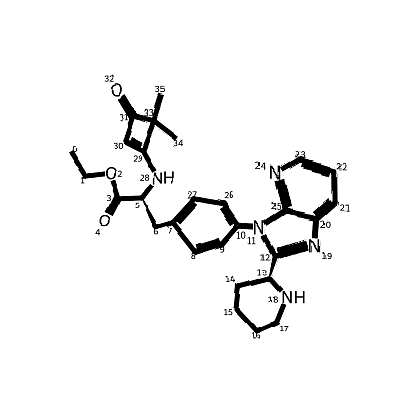 CCOC(=O)[C@H](Cc1ccc(-n2c([C@@H]3CCCCN3)nc3cccnc32)cc1)NC1=CC(=O)C1(C)C